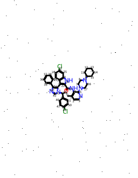 Cc1ccnc(N2CCN(C3CCCCC3)CC2)c1NC(=O)c1[nH]c2cc(Cl)ccc2c1-c1c(-c2ccccc2)ncn1[C@@H](C)c1ccc(Cl)cc1